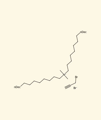 C#CCBr.CCCCCCCCCCCCCCCCCC[N+](C)(C)CCCCCCCCCCCCCCCCCC.[Br-]